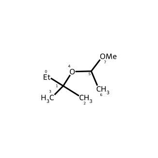 CCC(C)(C)OC(C)OC